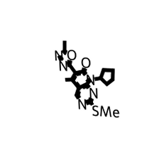 CSc1ncc2c(C)c(-c3nnc(C)o3)c(=O)n(C3CCCC3)c2n1